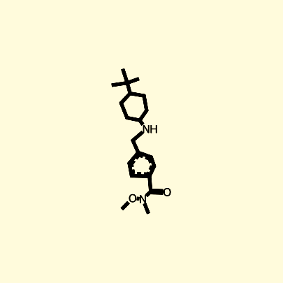 CON(C)C(=O)c1ccc(CNC2CCC(C(C)(C)C)CC2)cc1